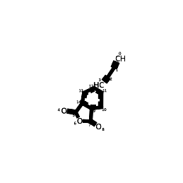 C#CC#C.O=C1OC(=O)c2ccccc21